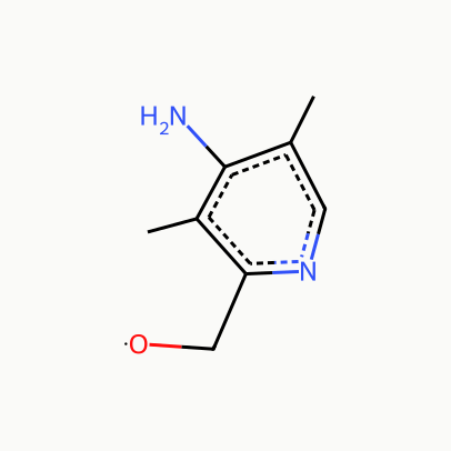 Cc1cnc(C[O])c(C)c1N